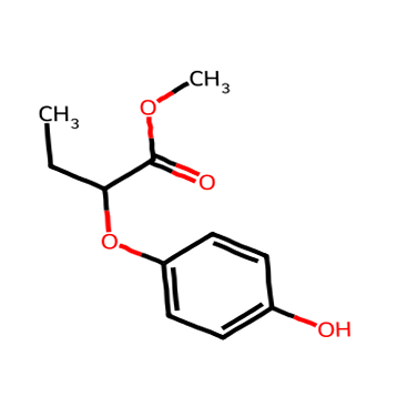 CCC(Oc1ccc(O)cc1)C(=O)OC